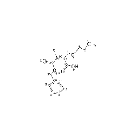 COCCOCC(C(=O)O)N(C)C(=O)OCc1ccccc1